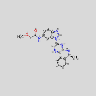 COCC(=O)Nc1ccc2ncn(-c3cncc(N[C@@H](C)c4ccccc4)n3)c2c1